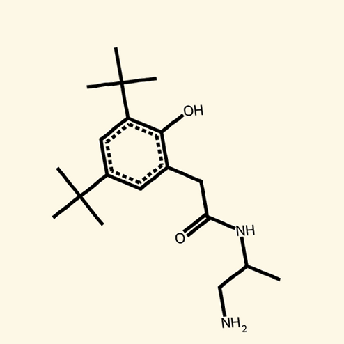 CC(CN)NC(=O)Cc1cc(C(C)(C)C)cc(C(C)(C)C)c1O